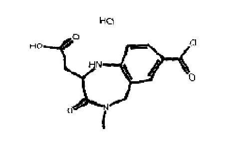 CN1Cc2cc(C(=O)Cl)ccc2NC(CC(=O)O)C1=O.Cl